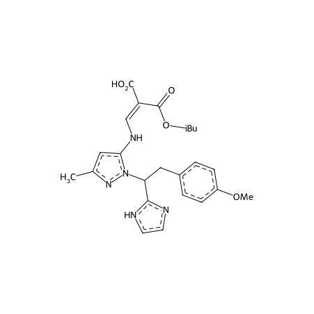 CCC(C)OC(=O)C(=CNc1cc(C)nn1C(Cc1ccc(OC)cc1)c1ncc[nH]1)C(=O)O